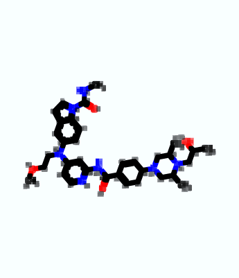 CNC(=O)n1ccc2cc(N(CCOC)c3ccnc(NC(=O)C4=CCC(N5CC(C)N(CC(C)O)C(C)C5)C=C4)c3)ccc21